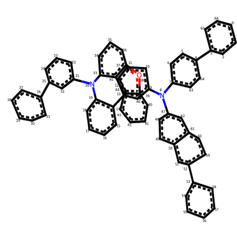 c1ccc(-c2ccc(N(c3cccc(-c4ccccc4N(c4cccc(-c5ccccc5)c4)c4cccc5oc6ccccc6c45)c3)c3ccc4cc(-c5ccccc5)ccc4c3)cc2)cc1